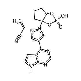 C=CC#N.O=P(O)(O)OC1(n2cc(-c3ncnc4[nH]ccc34)cn2)CCCC1